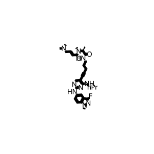 CCCNc1nc(Nc2ccc3c(c2)c(F)nn3C)ncc1C#CCCCNC(=O)[C@H](C)N(C)C(=O)/C=C/CN(C)C